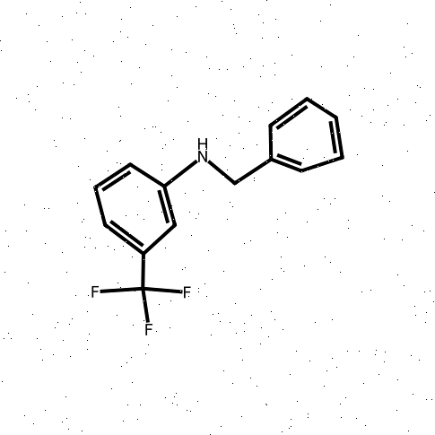 FC(F)(F)c1cccc(NCc2ccccc2)c1